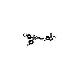 O=C1CCc2cc(OCCCCSc3nc(-c4ccc(Cl)cc4)c(-c4ccc(Cl)cc4)o3)ccc2N1